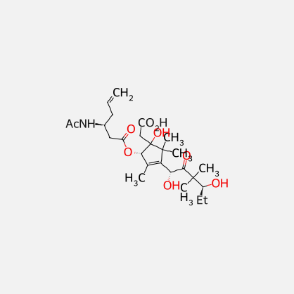 C=CC[C@@H](CC(=O)O[C@H]1C(C)=C([C@@H](O)C(=O)C(C)(C)[C@@H](O)CC)C(C)(C)C1(O)CC(=O)O)NC(C)=O